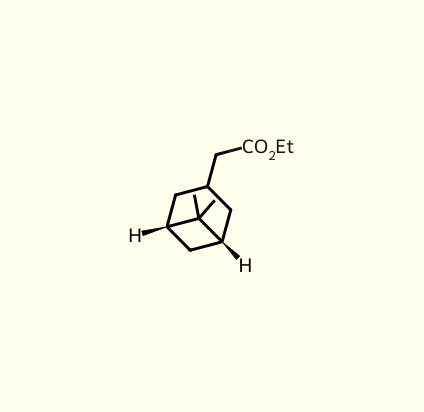 CCOC(=O)CC1C[C@@H]2C[C@H](C1)C2(C)C